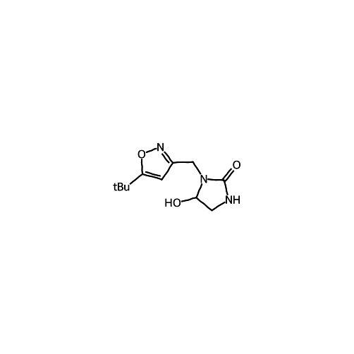 CC(C)(C)c1cc(CN2C(=O)NCC2O)no1